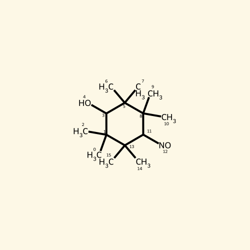 CC1(C)C(O)C(C)(C)C(C)(C)C(N=O)C1(C)C